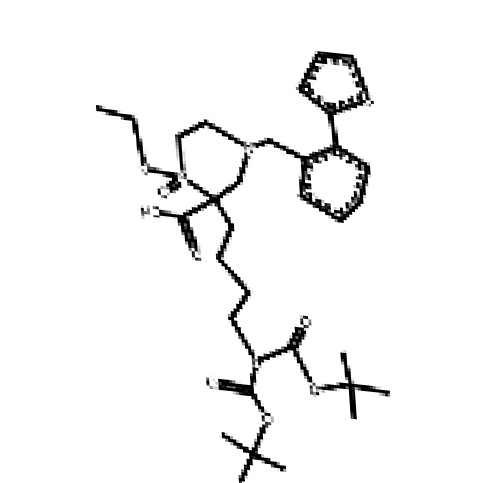 CCOP1(=O)CCN(Cc2ccccc2-c2cccs2)CC1(CCCCN(C(=O)OC(C)(C)C)C(=O)OC(C)(C)C)C(=O)O